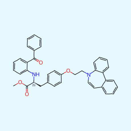 COC(=O)[C@H](Cc1ccc(OCCN2C=Cc3ccccc3-c3ccccc32)cc1)Nc1ccccc1C(=O)c1ccccc1